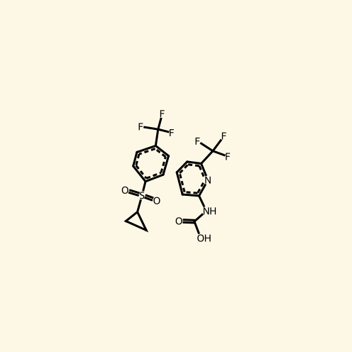 O=C(O)Nc1cccc(C(F)(F)F)n1.O=S(=O)(c1ccc(C(F)(F)F)cc1)C1CC1